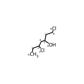 CCC(Cl)CC(O)CCCl